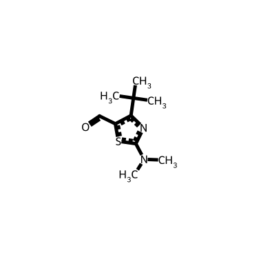 CN(C)c1nc(C(C)(C)C)c(C=O)s1